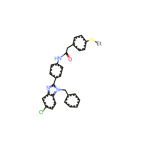 CCSc1ccc(CC(=O)Nc2ccc(-c3nc4cc(Cl)ccc4n3Cc3ccccc3)cc2)cc1